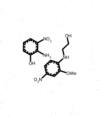 COc1cc([N+](=O)[O-])ccc1NCCO.Nc1c(O)cccc1[N+](=O)[O-]